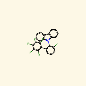 Fc1cccc(-c2c(F)c(F)c(F)c(F)c2F)c1-n1c2ccccc2c2ccccc21